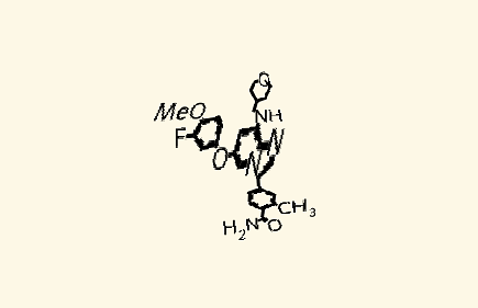 COc1ccc(Oc2cc(NCC3CCOCC3)c3ncc(-c4ccc(C(N)=O)c(C)c4)n3c2)cc1F